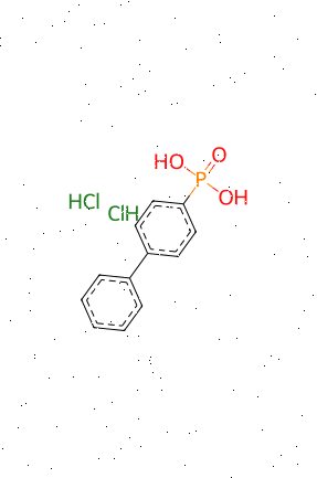 Cl.Cl.O=P(O)(O)c1ccc(-c2ccccc2)cc1